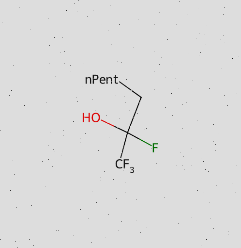 CCCCCCC(O)(F)C(F)(F)F